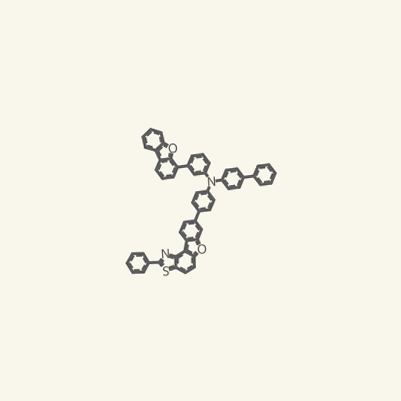 c1ccc(-c2ccc(N(c3ccc(-c4ccc5c(c4)oc4ccc6sc(-c7ccccc7)nc6c45)cc3)c3cccc(-c4cccc5c4oc4ccccc45)c3)cc2)cc1